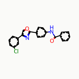 O=C(Nc1ccc(-c2nc(-c3cccc(Cl)c3)co2)cc1)c1ccccc1